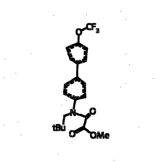 COC(=O)C(=O)N(CC(C)(C)C)c1ccc(-c2ccc(OC(F)(F)F)cc2)cc1